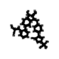 Cn1cc(C(F)(F)F)nc1-c1ccc(Cn2c(=O)n(C)c3cnc(-c4ccccc4OC(F)F)nc32)cc1